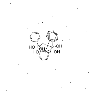 OP(O)(O)(CC(c1ccccc1)(c1ccccc1)P(O)(O)(O)c1ccccc1)c1ccccc1